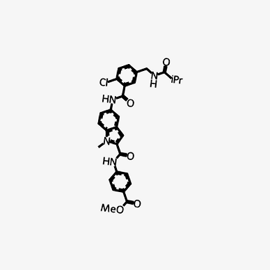 COC(=O)c1ccc(NC(=O)c2cc3cc(NC(=O)c4cc(CNC(=O)C(C)C)ccc4Cl)ccc3n2C)cc1